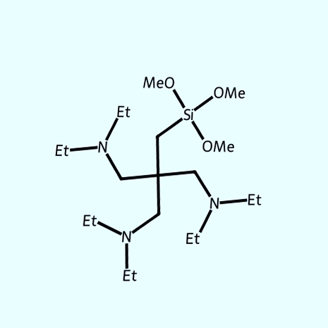 CCN(CC)CC(CN(CC)CC)(CN(CC)CC)C[Si](OC)(OC)OC